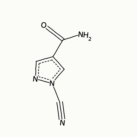 N#Cn1cc(C(N)=O)cn1